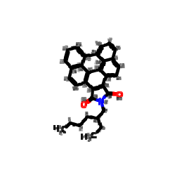 CCCCC(CC)Cn1c(=O)c2c3ccc4cccc5c6cccc7ccc(c2c1=O)c(c76)c3c45